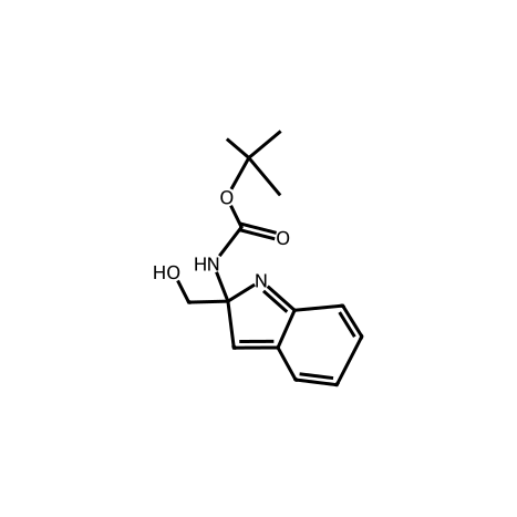 CC(C)(C)OC(=O)NC1(CO)C=c2ccccc2=N1